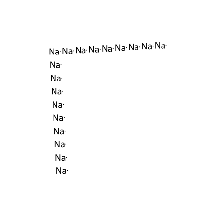 [Na].[Na].[Na].[Na].[Na].[Na].[Na].[Na].[Na].[Na].[Na].[Na].[Na].[Na].[Na].[Na].[Na].[Na]